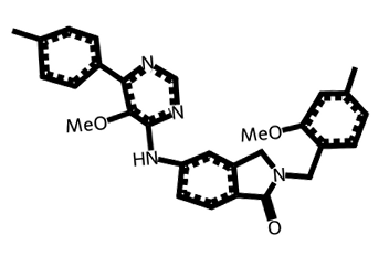 COc1cc(C)ccc1CN1Cc2cc(Nc3ncnc(-c4ccc(C)cc4)c3OC)ccc2C1=O